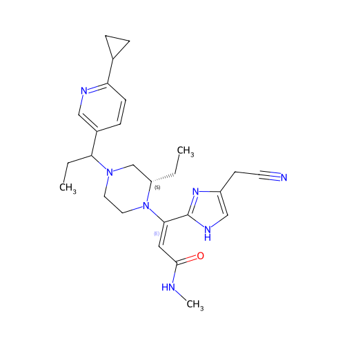 CCC(c1ccc(C2CC2)nc1)N1CCN(/C(=C/C(=O)NC)c2nc(CC#N)c[nH]2)[C@@H](CC)C1